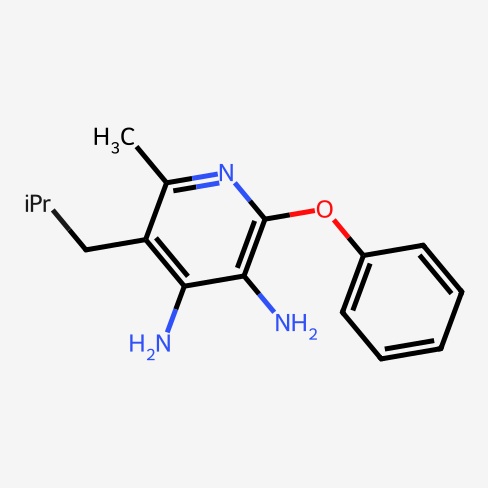 Cc1nc(Oc2ccccc2)c(N)c(N)c1CC(C)C